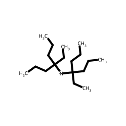 CCCC(CC)(CCC)[N]C(CC)(CCC)CCC